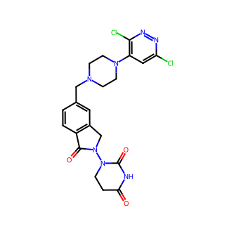 O=C1CCN(N2Cc3cc(CN4CCN(c5cc(Cl)nnc5Cl)CC4)ccc3C2=O)C(=O)N1